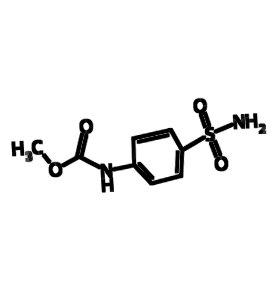 COC(=O)Nc1ccc(S(N)(=O)=O)cc1